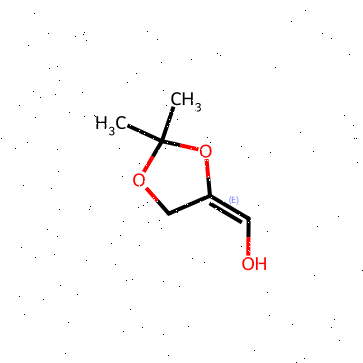 CC1(C)OC/C(=C\O)O1